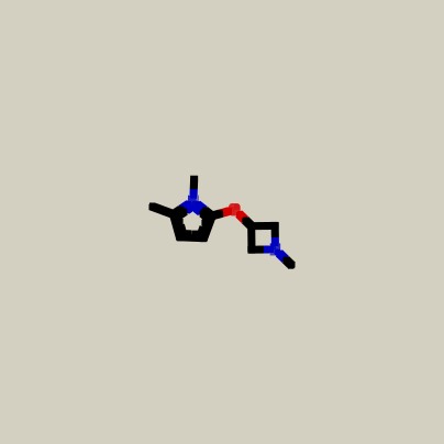 Cc1ccc(OC2CN(C)C2)n1C